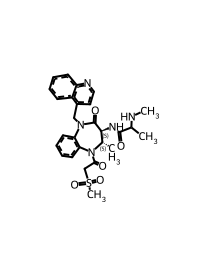 CNC(C)C(=O)N[C@@H]1C(=O)N(Cc2ccnc3ccccc23)c2ccccc2N(C(=O)CS(C)(=O)=O)[C@H]1C